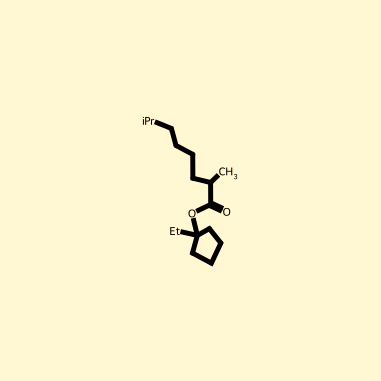 CCC1(OC(=O)C(C)CCCCC(C)C)CCCC1